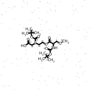 COCC(NC(=O)OC(C)(C)C)C(=O)OCCN(CC(=O)O)C(=O)OC(C)(C)C